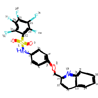 O=S(=O)(Nc1ccc(OCc2ccc3ccccc3n2)cc1)c1c(F)c(F)c(F)c(F)c1F